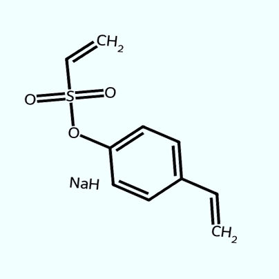 C=Cc1ccc(OS(=O)(=O)C=C)cc1.[NaH]